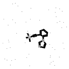 C[Si](C)(C)C#Cc1ccccc1-n1ccnc1